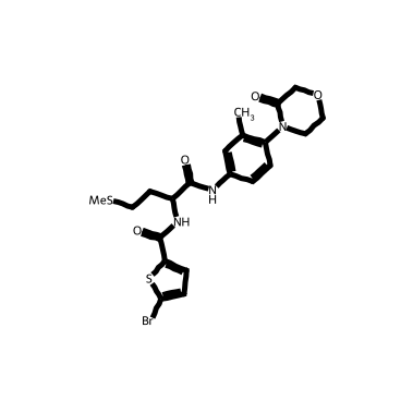 CSCCC(NC(=O)c1ccc(Br)s1)C(=O)Nc1ccc(N2CCOCC2=O)c(C)c1